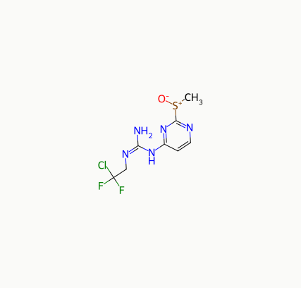 C[S+]([O-])c1nccc(N/C(N)=N\CC(F)(F)Cl)n1